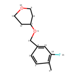 Cc1ccc(COC2CCOCC2)cc1F